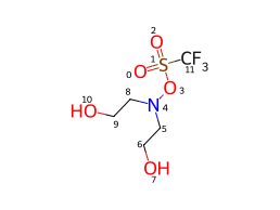 O=S(=O)(ON(CCO)CCO)C(F)(F)F